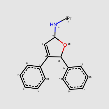 CC(C)NC1C=C(c2ccccc2)C(c2ccccc2)O1